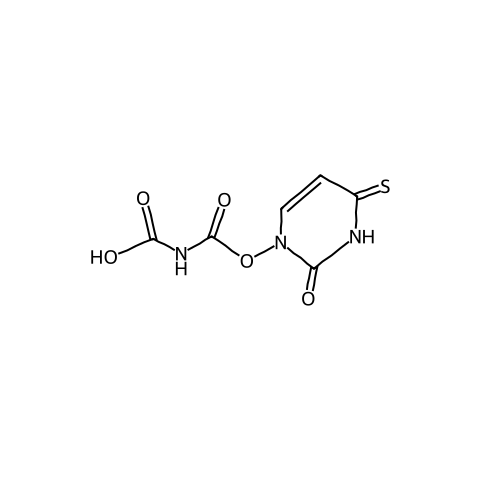 O=C(O)NC(=O)On1ccc(=S)[nH]c1=O